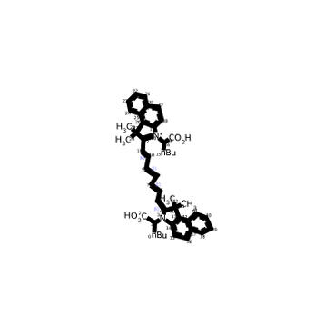 CCCCC(C(=O)O)N1/C(=C/C=C/C=C/C=C/C2=[N+](C(CCCC)C(=O)O)c3ccc4ccccc4c3C2(C)C)C(C)(C)c2c1ccc1ccccc21